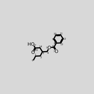 CCCC(COC(=O)c1ccccc1)CC(=O)O